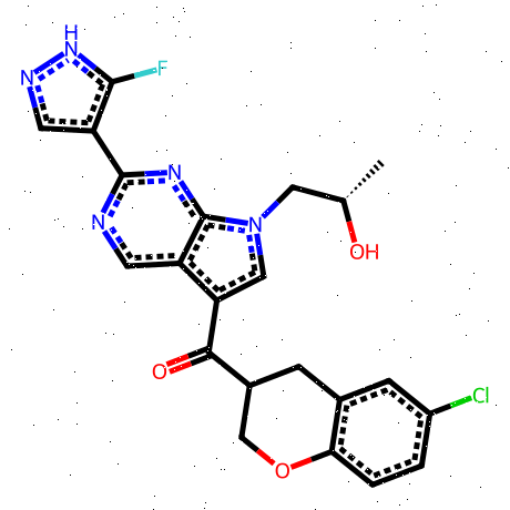 C[C@H](O)Cn1cc(C(=O)C2COc3ccc(Cl)cc3C2)c2cnc(-c3cn[nH]c3F)nc21